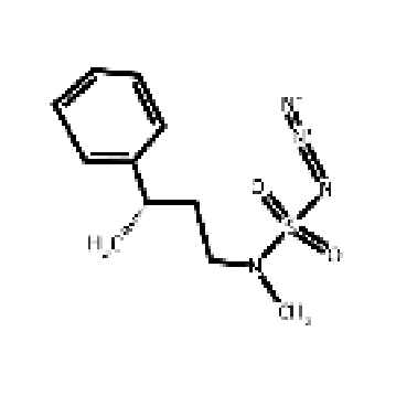 C[C@@H](CCN(C)S(=O)(=O)N=[N+]=[N-])c1ccccc1